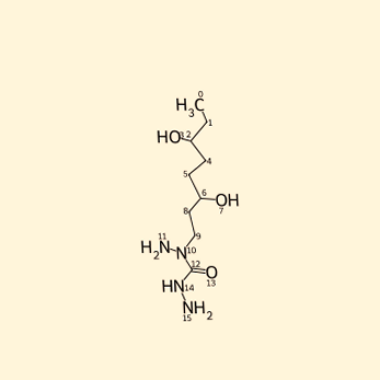 CCC(O)CCC(O)CCN(N)C(=O)NN